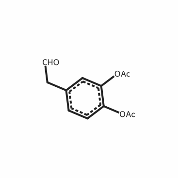 CC(=O)Oc1ccc(CC=O)cc1OC(C)=O